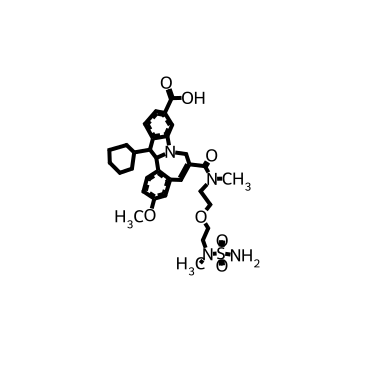 COc1ccc2c(c1)C=C(C(=O)N(C)CCOCCN(C)S(N)(=O)=O)CN1c3cc(C(=O)O)ccc3C(C3CCCCC3)C21